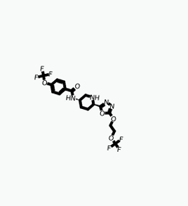 O=C(N[C@H]1CC[C@H](c2nnc(OCCOC(F)(F)F)o2)NC1)c1ccc(OC(F)(F)F)cc1